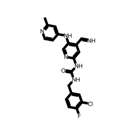 Cc1cc(Nc2cnc(NC(=O)NCc3ccc(F)c(Cl)c3)cc2C=N)ccn1